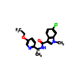 C[C@@H](NC(=O)c1cn(C)c2cc(Cl)ccc12)c1ccc(OCC(F)(F)F)cn1